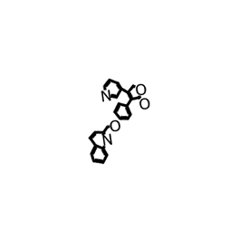 O=C1OCC(c2cccnc2)=C1c1ccc(OCc2ccc3ccccc3n2)cc1